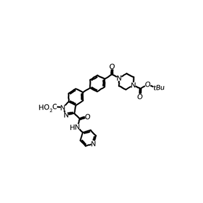 CC(C)(C)OC(=O)N1CCN(C(=O)c2ccc(-c3ccc4c(c3)c(C(=O)Nc3ccncc3)nn4C(=O)O)cc2)CC1